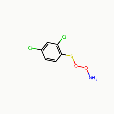 NOOSc1ccc(Cl)cc1Cl